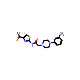 O=C(CN1CCN(c2cccc(C(F)(F)F)c2)CC1)Nc1nc(C(=O)C(=O)O)cs1